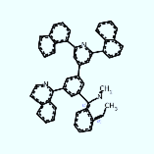 C=N/C(c1cc(-c2cc(-c3cccc4ccccc34)nc(-c3cccc4ccccc34)c2)cc(-c2nccc3ccccc23)c1)=c1/cccc/c1=C/C